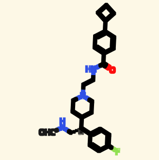 O=CNC[C@@H](c1ccc(F)cc1)C1CCN(CCNC(=O)c2ccc(C3CCC3)cc2)CC1